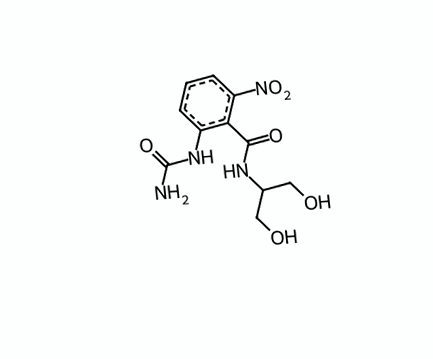 NC(=O)Nc1cccc([N+](=O)[O-])c1C(=O)NC(CO)CO